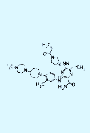 C=CC(=O)N1CC[C@@H](Nc2nc(Nc3ccc(N4CCC(N5CCN(C)CC5)CC4)c(C)c3)c(C(N)=O)nc2CC)C1